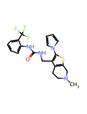 CN1CCc2c(sc(-n3cccc3)c2CNC(=O)Nc2ccccc2C(F)(F)F)C1